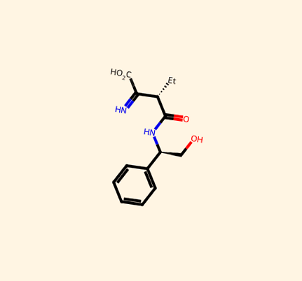 CC[C@@H](C(=N)C(=O)O)C(=O)N[C@@H](CO)c1ccccc1